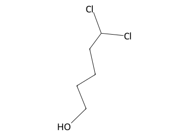 OCCCCC(Cl)Cl